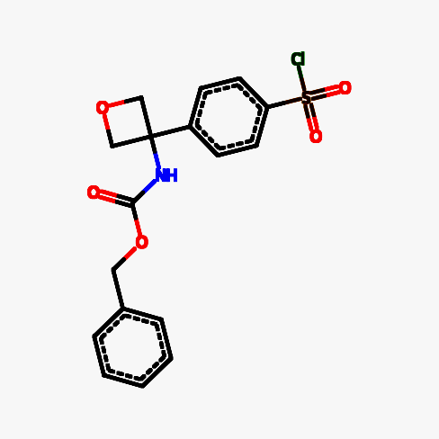 O=C(NC1(c2ccc(S(=O)(=O)Cl)cc2)COC1)OCc1ccccc1